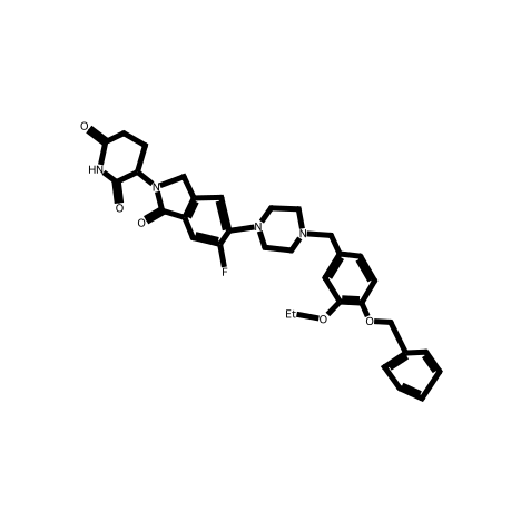 CCOc1cc(CN2CCN(c3cc4c(cc3F)C(=O)N(C3CCC(=O)NC3=O)C4)CC2)ccc1OCc1ccccc1